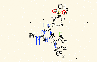 CC(C)Nc1nc(Nc2cccc(S(C)(=O)=O)c2)nc(-c2nc(C(F)(F)F)ccc2F)n1